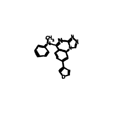 CN(c1ccccc1)c1nc2nncn2c2cc(-c3ccoc3)ccc12